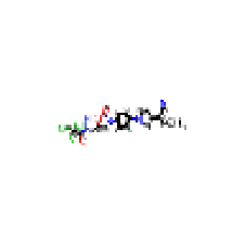 CCC(C#N)=C1CCN(c2ccc(N3CC(CNC(=O)C(Cl)(Cl)Cl)OC3=O)cc2F)CC1